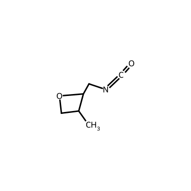 CC1COC1CN=C=O